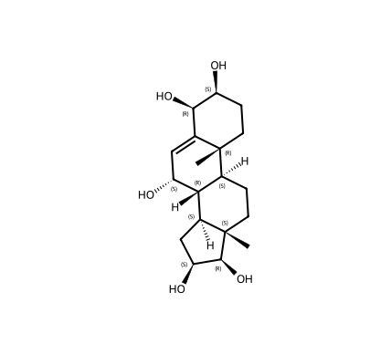 C[C@]12CC[C@H]3[C@@H]([C@H](O)C=C4[C@@H](O)[C@@H](O)CC[C@@]43C)[C@@H]1C[C@H](O)[C@@H]2O